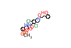 CS(=O)(=O)c1cccc(C[C@H](NC(=O)c2c(Cl)cc3c(c2Cl)CCN(C(=O)CCc2ccccc2O)C3)C(=O)O)c1